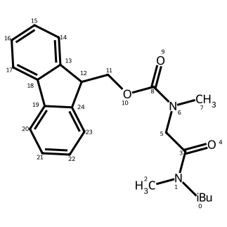 CCC(C)N(C)C(=O)CN(C)C(=O)OCC1c2ccccc2-c2ccccc21